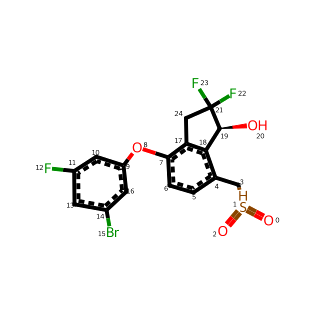 O=[SH](=O)Cc1ccc(Oc2cc(F)cc(Br)c2)c2c1[C@H](O)C(F)(F)C2